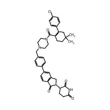 CC1(C)CCC(C(=O)N2CCN(Cc3ccc(-c4ccc5c(c4)CN(C4CCC(=O)NC4=O)C5=O)cc3)CC2)=C(c2ccc(Cl)cc2)C1